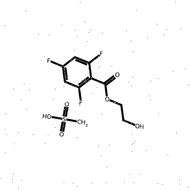 CS(=O)(=O)O.O=C(OCCO)c1c(F)cc(F)cc1F